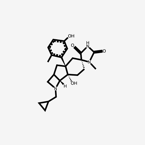 Cc1ccc(O)cc1[C@]12CC3CN(CC4CC4)[C@H]3[C@]1(O)CC[C@]1(C2)C(=O)NC(=O)N1C